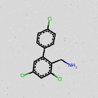 NCc1c(Cl)cc(Cl)cc1-c1ccc(Cl)cc1